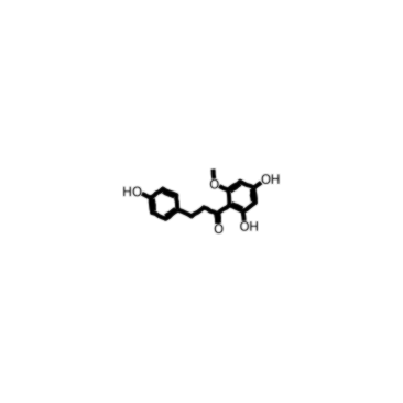 COc1cc(O)cc(O)c1C(=O)CCc1ccc(O)cc1